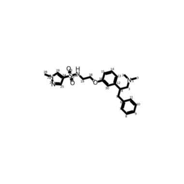 CN(C)CC(Cc1ccccc1)c1cccc(OCCNS(=O)(=O)c2cnn(C)c2)c1